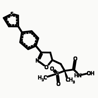 C[C@@](CC1CC(c2ccc(-c3ccsc3)cc2)=NO1)(C(=O)NO)S(C)(=O)=O